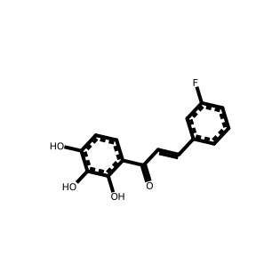 O=C(/C=C/c1cccc(F)c1)c1ccc(O)c(O)c1O